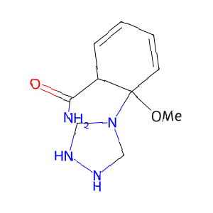 COC1(N2CNNC2)C=CC=CC1C(N)=O